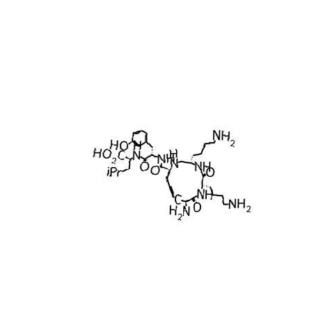 CC(C)C[C@H](NC(=O)[C@H](Cc1cccc(O)c1)NC(=O)[C@@H]1C/C=C/C[C@H](N)C(=O)N[C@@H](CCCCN)C(=O)N[C@@H](CCCCN)CN1)C(=O)O